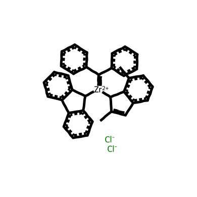 CC1=Cc2cccc(C)c2[CH]1[Zr+2](=[C](c1ccccc1)c1ccccc1)[CH]1c2ccccc2-c2ccccc21.[Cl-].[Cl-]